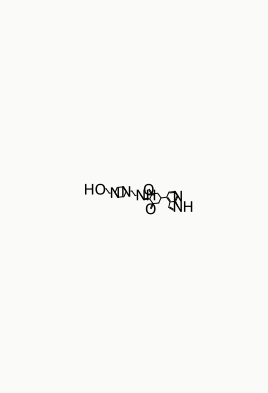 O=C1CC(c2ccnc3[nH]ccc23)CC(=O)C1=CNCCN1CCN(CCO)CC1